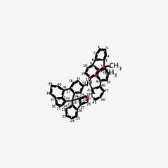 CC1(C)c2ccccc2-c2ccc(N(c3ccc4c(c3)C3(c5ccccc5-c5ccccc53)c3cccc5cccc-4c35)c3ccccc3-c3ccccc3)cc21